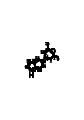 CC1CN(c2cnc3[nH]ccc3c2)C[C@@H](C)O1